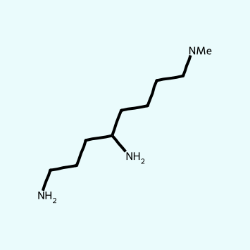 CNCCCCC(N)CCCN